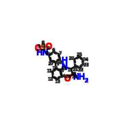 CS(=O)(=O)Nc1cccc(-c2ccccc2NC(C(N)=O)c2ccccc2)c1